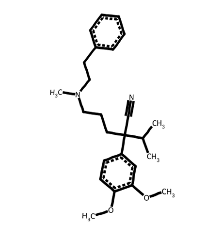 COc1ccc(C(C#N)(CCCN(C)CCc2ccccc2)C(C)C)cc1OC